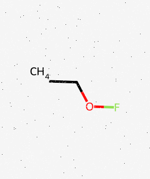 C.CCOF